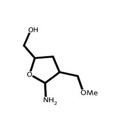 COCC1CC(CO)OC1N